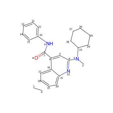 CC.CN(c1cc(C(=O)Nc2ccccc2)c2ccccc2n1)C1CCCCC1